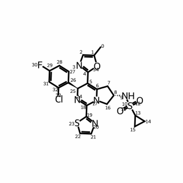 Cc1cnc(C2=C3C[C@H](NS(=O)(=O)C4CC4)CN3C(c3nccs3)=N[C@H]2c2ccc(F)cc2Cl)o1